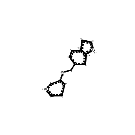 c1cncc(NCc2ccc3ccoc3c2)c1